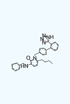 CCCCc1ccc(NCc2ccccc2)c(=O)n1Cc1ccc(-c2ccccc2-c2nnn[nH]2)cc1